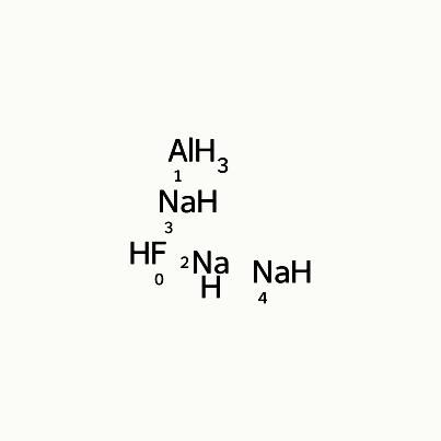 F.[AlH3].[NaH].[NaH].[NaH]